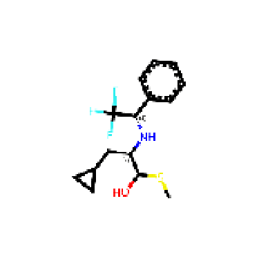 CSC(O)[C@@H](CC1CC1)N[C@@H](c1ccccc1)C(F)(F)F